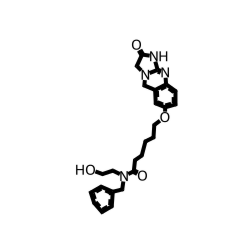 O=C1CN2Cc3cc(OCCCCCC(=O)N(CCO)Cc4ccccc4)ccc3N=C2N1